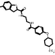 Cc1ccc2c(c1)CC(C(=O)NCCNC(=O)c1ccc(O[C@H]3CC[C@@H](C(=O)O)CC3)cc1)S2